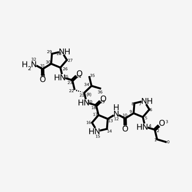 CCC(=O)NC1CNCC1C(=O)NC1CNCC1C(=O)N[C@H](CC(=O)NC1CNCC1C(N)=O)C(C)C